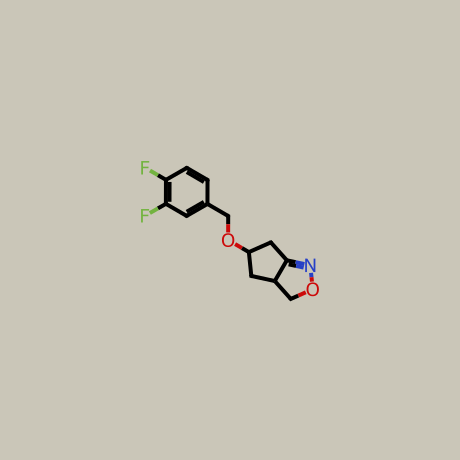 Fc1ccc(COC2CC3=NOCC3C2)cc1F